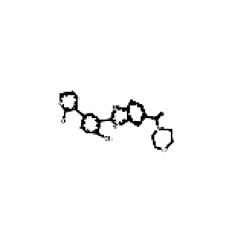 O=C(c1ccc2nc(-c3cc(-c4cccnc4Cl)ccc3O)[nH]c2c1)N1CCOCC1